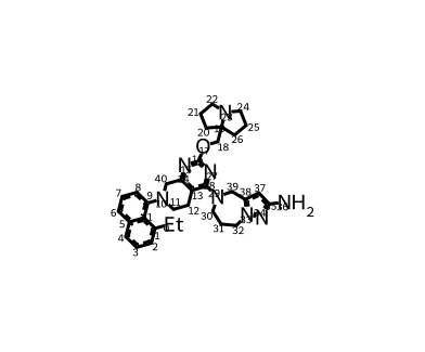 CCc1cccc2cccc(N3CCc4c(nc(OCC56CCCN5CCC6)nc4N4CCCn5nc(N)cc5C4)C3)c12